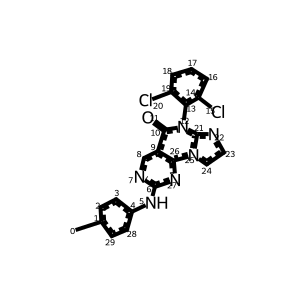 Cc1ccc(Nc2ncc3c(=O)n(-c4c(Cl)cccc4Cl)c4nccn4c3n2)cc1